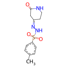 Cc1ccc(S(=O)(=O)N/N=C2\CCNC(=O)C2)cc1